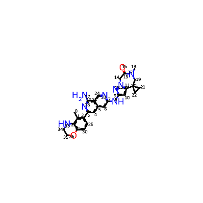 Cc1c(-c2cc3cc(Nc4cc5n(n4)CC(=O)N(C)CC54CC4)ncc3c(N)n2)ccc2c1NCCO2